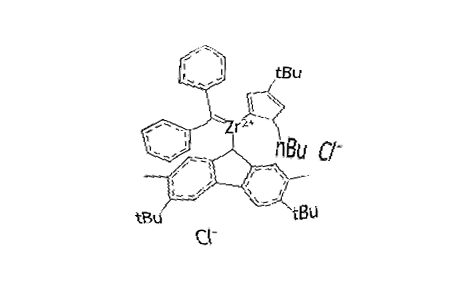 CCCCC1C=C(C(C)(C)C)C=[C]1[Zr+2](=[C](c1ccccc1)c1ccccc1)[CH]1c2cc(C)c(C(C)(C)C)cc2-c2cc(C(C)(C)C)c(C)cc21.[Cl-].[Cl-]